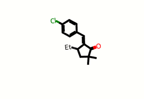 CCC1CC(C)(C)C(=O)/C1=C/c1ccc(Cl)cc1